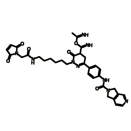 CC(=N)OC(=N)C1CC(c2ccc(NC(=O)N3Cc4ccncc4C3)cc2)=NN(CCCCCCNC(=O)CN2C(=O)C=CC2=O)C1=O